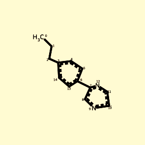 CCCc1ccc(-c2cn[c]cn2)cc1